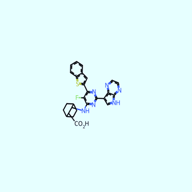 O=C(O)C1C2CCC(CC2)C1Nc1nc(-c2c[nH]c3nccnc23)nc(-c2cc3ccccc3s2)c1F